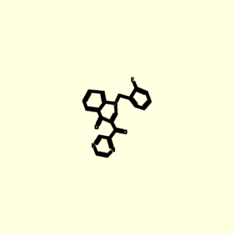 O=C(c1cnccn1)c1cn(Cc2ccccc2F)c2ccccc2c1=O